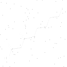 CCCCCNC(=S)CC(=O)O